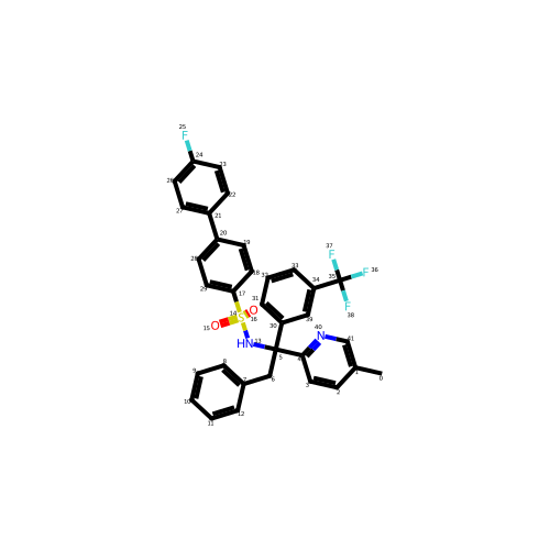 Cc1ccc(C(Cc2ccccc2)(NS(=O)(=O)c2ccc(-c3ccc(F)cc3)cc2)c2cccc(C(F)(F)F)c2)nc1